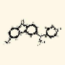 CC(C)c1ccc2[nH]c3ccc(C(c4ccncc4)C(C)(C)C)cc3c2c1